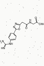 COC(=O)CNC(=O)Cc1nnc(-c2ccc(NC(=N)N)cc2)o1